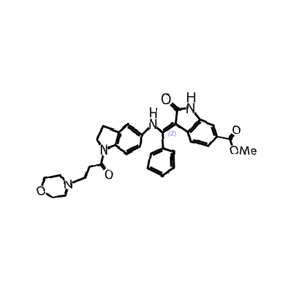 COC(=O)c1ccc2c(c1)NC(=O)/C2=C(\Nc1ccc2c(c1)CCN2C(=O)CCN1CCOCC1)c1ccccc1